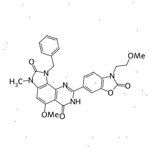 COCCn1c(=O)oc2cc(-c3nc4c(c(OC)cc5c4n(Cc4ccccc4)c(=O)n5C)c(=O)[nH]3)ccc21